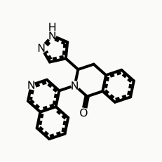 O=C1c2ccccc2CC(c2cn[nH]c2)N1c1cncc2ccccc12